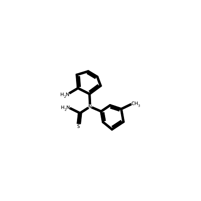 Cc1cccc(N(C(N)=S)c2ccccc2N)c1